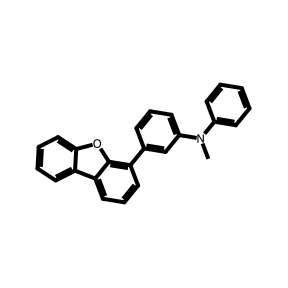 CN(c1ccccc1)c1cccc(-c2cccc3c2oc2ccccc23)c1